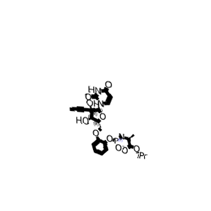 CC#C[C@@]1(O)[C@H](O)[C@@H](COc2ccccc2O/[P+]([O-])=N/[C@@H](C)C(=O)OC(C)C)O[C@H]1n1ccc(=O)[nH]c1=O